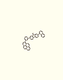 c1cc(-c2ccc3c(c2)sc2cc(-c4cccc5ccccc45)ccc23)cc(-c2ccc3ccc4cccc5ccc2c3c45)c1